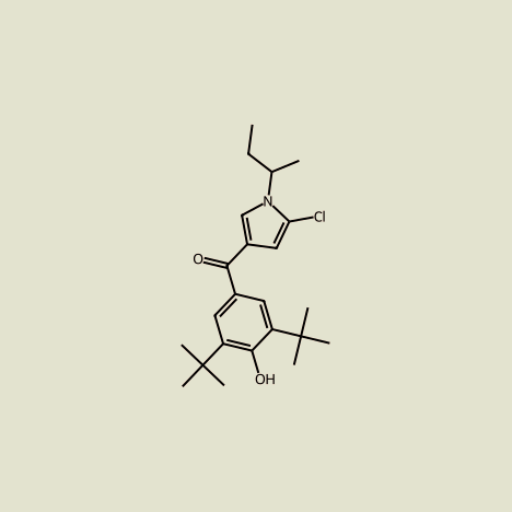 CCC(C)n1cc(C(=O)c2cc(C(C)(C)C)c(O)c(C(C)(C)C)c2)cc1Cl